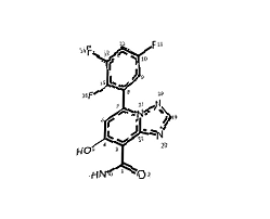 [NH]C(=O)c1c(O)cc(-c2cc(F)cc(F)c2F)n2ncnc12